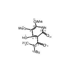 CCCCN(C)C(=O)c1c(O)c(OC)c(OC)[nH]c1=O